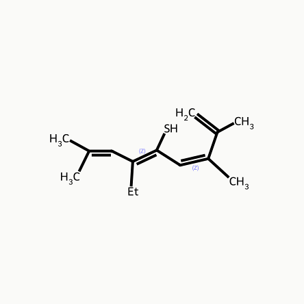 C=C(C)/C(C)=C\C(S)=C(\C=C(C)C)CC